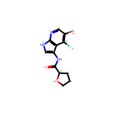 O=C(Nc1c[nH]c2ncc(Br)c(F)c12)C1CCCO1